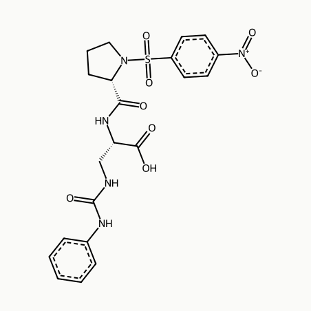 O=C(NC[C@H](NC(=O)[C@@H]1CCCN1S(=O)(=O)c1ccc([N+](=O)[O-])cc1)C(=O)O)Nc1ccccc1